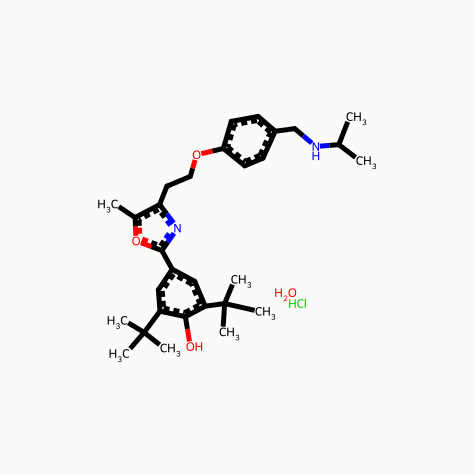 Cc1oc(-c2cc(C(C)(C)C)c(O)c(C(C)(C)C)c2)nc1CCOc1ccc(CNC(C)C)cc1.Cl.O